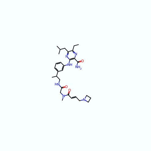 CCc1nc(C(N)=O)c(Nc2cccc(C(C)CNC(=O)CN(C)C(=O)C=CCN3CCC3)c2)nc1CC(C)C